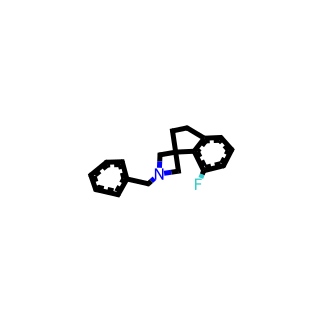 Fc1cccc2c1C1(CC2)CN(Cc2ccccc2)C1